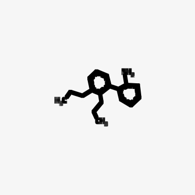 CCCc1cccc(-c2ccccc2N)c1CCC